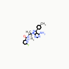 Cc1ccc(-c2nn(C(C)(C)CNC(=O)c3cccc(F)n3)c3ncnc(N)c23)cc1